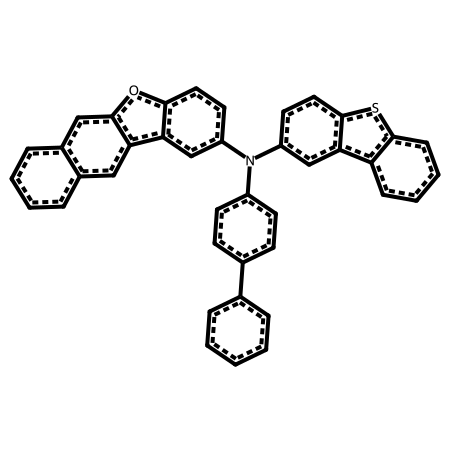 c1ccc(-c2ccc(N(c3ccc4oc5cc6ccccc6cc5c4c3)c3ccc4sc5ccccc5c4c3)cc2)cc1